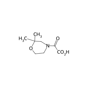 CC1(C)CN(C(=O)C(=O)O)CCO1